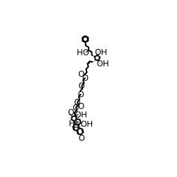 C[C@@H]1C[C@H]2[C@@H]3CCC4=CC(=O)C=C[C@]4(C)[C@@]3(F)[C@@H](O)C[C@]2(C)[C@@]1(O)C(=O)COC(=O)OCCOCCOCCOC(=O)CCC/C=C\C[C@@H]1[C@@H](CC[C@@H](O)CCc2ccccc2)[C@H](O)C[C@@H]1O